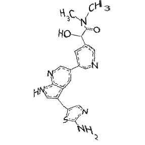 CN(C)C(=O)C(O)c1cncc(-c2cnc3[nH]cc(-c4cnc(N)s4)c3c2)c1